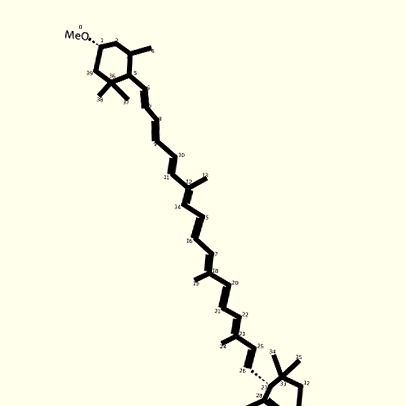 CO[C@@H]1CC(C)C(/C=C/C=C/C=C/C(C)=C/C=C/C=C(C)/C=C/C=C(C)/C=C/[C@H]2C(C)=CCCC2(C)C)C(C)(C)C1